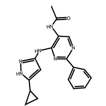 CC(=O)Nc1cnc(-c2ccccc2)nc1Nc1cc(C2CC2)[nH]n1